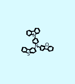 c1ccc2c(c1)oc1cc(N(c3ccc(-n4c5ccccc5c5ccccc54)cc3)c3ccc4sc5ccccc5c4c3)ccc12